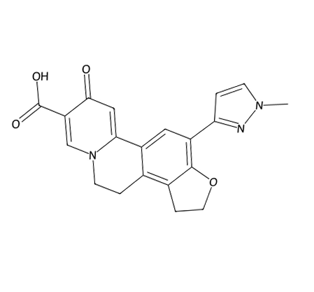 Cn1ccc(-c2cc3c(c4c2OCC4)CCn2cc(C(=O)O)c(=O)cc2-3)n1